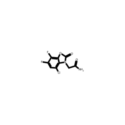 NC(=O)Cn1c(=O)oc2c(F)c(F)cc(Cl)c21